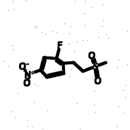 CS(=O)(=O)CCc1ccc([N+](=O)[O-])cc1F